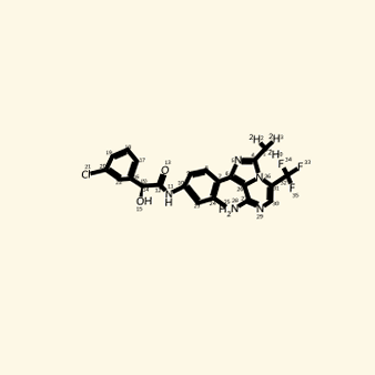 [2H]C([2H])([2H])c1nc(-c2ccc(NC(=O)[C@@H](O)c3cccc(Cl)c3)cc2C)c2c(N)ncc(C(F)(F)F)n12